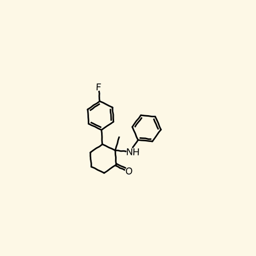 CC1(Nc2ccccc2)C(=O)CCCC1c1ccc(F)cc1